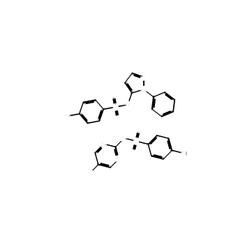 Cc1cnc(NS(=O)(=O)c2ccc(N)cc2)nc1.Nc1ccc(S(=O)(=O)Nc2ccnn2-c2ccccc2)cc1